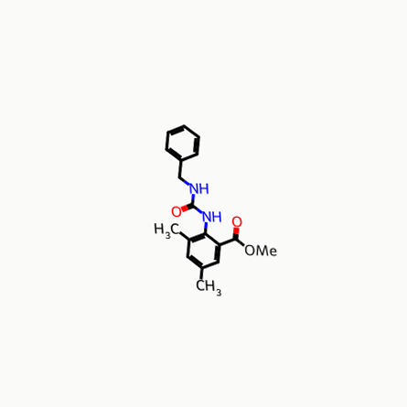 COC(=O)c1cc(C)cc(C)c1NC(=O)NCc1ccccc1